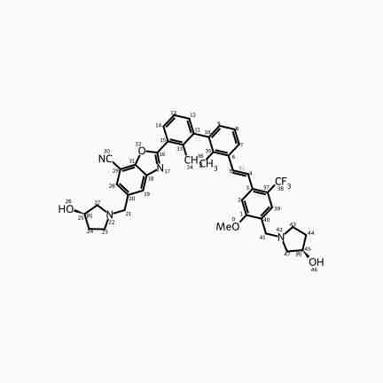 COc1cc(/C=C/c2cccc(-c3cccc(-c4nc5cc(CN6CC[C@@H](O)C6)cc(C#N)c5o4)c3C)c2C)c(C(F)(F)F)cc1CN1CC[C@@H](O)C1